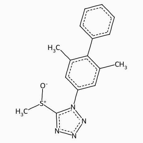 Cc1cc(-n2nnnc2[S+](C)[O-])cc(C)c1-c1ccccc1